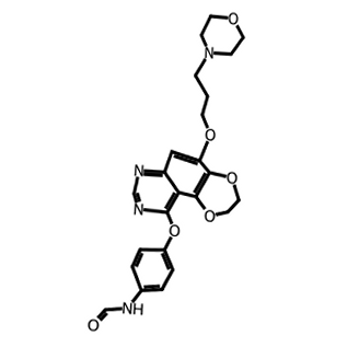 O=CNc1ccc(Oc2ncnc3cc(OCCCN4CCOCC4)c4c(c23)OCCO4)cc1